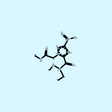 CCN(OC)C(=O)c1nc([N+](=O)[O-])nn1CC(=O)OC